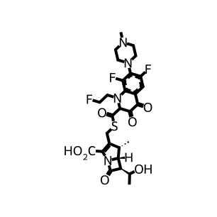 CC(O)[C@H]1C(=O)N2C(C(=O)O)=C(CSC(=O)C3C(=O)C(=O)c4cc(F)c(N5CCN(C)CC5)c(F)c4N3CCF)[C@H](C)[C@H]12